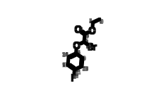 CCOC(=O)C(Br)Oc1ccc(F)cc1